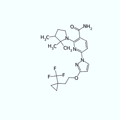 CC1CCN(c2nc(-n3ccc(OCCC4(C(F)(F)F)CC4)n3)ccc2C(N)=O)C1(C)C